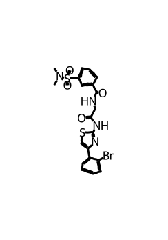 CN(C)S(=O)(=O)c1cccc(C(=O)NCC(=O)Nc2nc(-c3ccccc3Br)cs2)c1